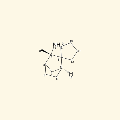 C[C@]1(N)C2CC[C@@H](C2)C12CCCC2